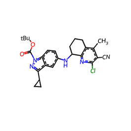 Cc1c(C#N)c(Cl)nc2c1CCCC2Nc1ccc2c(c1)c(C1CC1)nn2C(=O)OC(C)(C)C